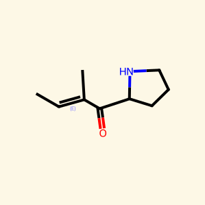 C/C=C(\C)C(=O)C1CCCN1